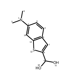 CN(C)c1ccc2cc(C(O)O)sc2c1